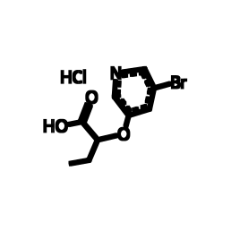 CCC(Oc1cncc(Br)c1)C(=O)O.Cl